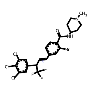 CN1CCC(NC(=O)c2ccc(/C=C/C(c3cc(Cl)c(Cl)c(Cl)c3)C(F)(F)F)cc2Br)CC1